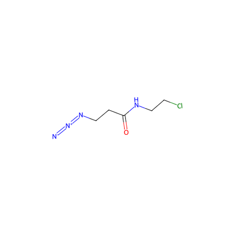 [N-]=[N+]=NCCC(=O)NCCCl